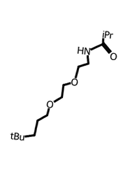 CC(C)C(=O)NCCOCCOCCCC(C)(C)C